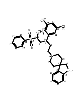 CN(C[C@H](CCN1CCC2(CC1)CSc1ccccc12)c1cc(Cl)cc(Cl)c1)S(=O)(=O)c1ccccc1